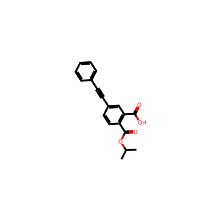 CC(C)OC(=O)c1ccc(C#Cc2ccccc2)cc1C(=O)O